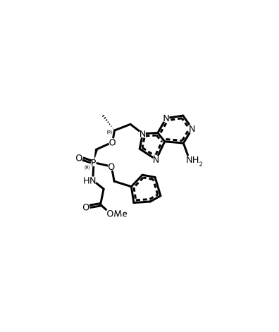 COC(=O)CN[P@@](=O)(CO[C@H](C)Cn1cnc2c(N)ncnc21)OCc1ccccc1